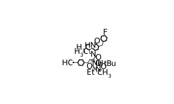 C#Cc1ccc(CC[C@H](NC(=O)[C@H](CC)N(C)C(=O)OC(C)(C)C)C(=O)N2CC(C)(C)c3[nH]c(=O)c(Cc4ccc(F)cc4)cc32)cc1